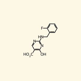 O=C(O)c1cnc(NCc2ccccc2F)nc1O